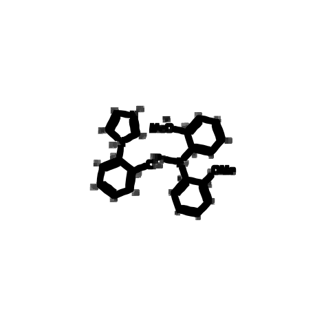 COc1ccccc1B(c1ccccc1OC)C(C)C.Clc1ccccc1-n1ccnc1